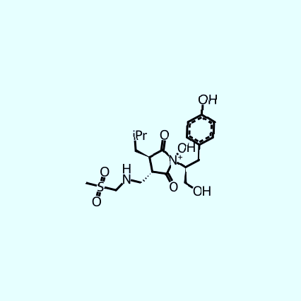 CC(C)C[C@H]1C(=O)[N+](O)([C@H](CO)Cc2ccc(O)cc2)C(=O)[C@@H]1CNCS(C)(=O)=O